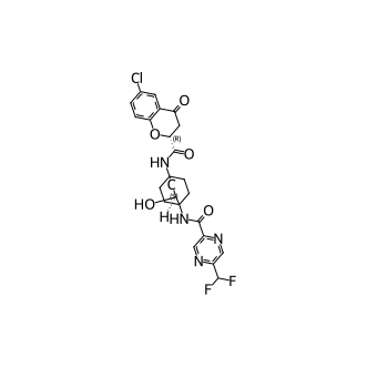 O=C(NC12CCC(NC(=O)[C@H]3CC(=O)c4cc(Cl)ccc4O3)(CC1)C[C@@H]2O)c1cnc(C(F)F)cn1